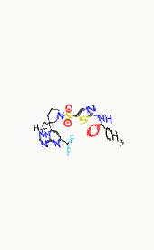 CC(=O)Nc1ncc(S(=O)(=O)N2CCCC(C)(c3cc(C(F)F)nc4ncnn34)C2)s1